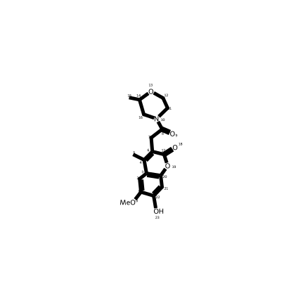 COc1cc2c(C)c(CC(=O)N3CCOC(C)C3)c(=O)oc2cc1O